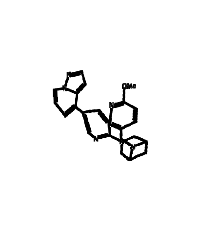 COc1ccc(CN2C3CC2CN(c2ccc(-c4cccn5nccc45)cn2)C3)cn1